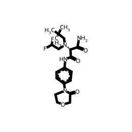 CC(C)(C)CN(CC(F)F)[C@H](C(N)=O)C(=O)Nc1ccc(N2CCOCC2=O)cc1